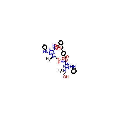 CN(CCO)c1nc(NOS(=O)(=O)c2ccc(C=Cc3ccccc3S(=O)(=O)ONc3nc(Nc4ccccc4)nc(N(C)CCO)n3)cc2)nc(Nc2ccccc2)n1